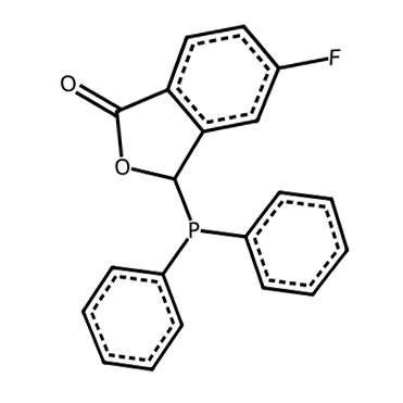 O=C1OC(P(c2ccccc2)c2ccccc2)c2cc(F)ccc21